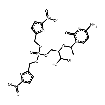 C[C@@H](O[C@H](COP(=O)(OCc1ccc([N+](=O)[O-])o1)OCc1ccc([N+](=O)[O-])o1)C(O)O)n1ccc(N)nc1=O